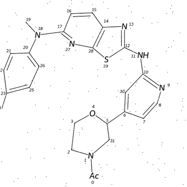 CC(=O)N1CCOC(c2ccnc(Nc3nc4ccc(N(C)c5ccc(C)cc5)nc4s3)c2)C1